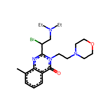 CCN(CC)CC(Br)c1nc2c(C)cccc2c(=O)n1CCN1CCOCC1